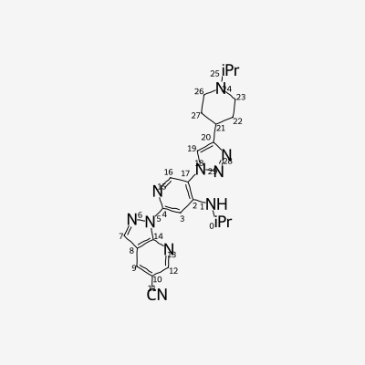 CC(C)Nc1cc(-n2ncc3cc(C#N)cnc32)ncc1-n1cc(C2CCN(C(C)C)CC2)nn1